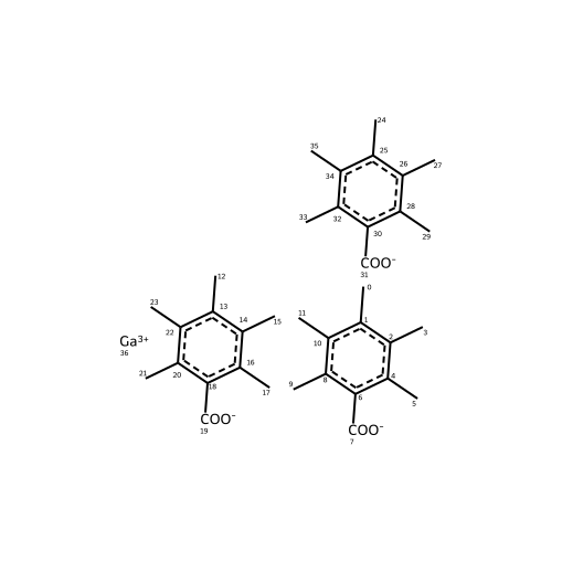 Cc1c(C)c(C)c(C(=O)[O-])c(C)c1C.Cc1c(C)c(C)c(C(=O)[O-])c(C)c1C.Cc1c(C)c(C)c(C(=O)[O-])c(C)c1C.[Ga+3]